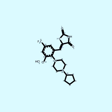 Cl.O=C1NC(=O)/C(=C/c2cc(C(F)(F)F)cc(Cl)c2N2CCN(C3CCCC3)CC2)S1